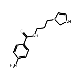 Nc1ccc(C(=O)NCCCN2C=CNC2)cc1